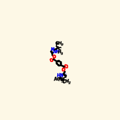 C=C=C(N/C(=C\C)COC(=O)c1ccc(C(=O)OCc2cnc(C(C)=C=C)[nH]2)cc1)C(C)=O